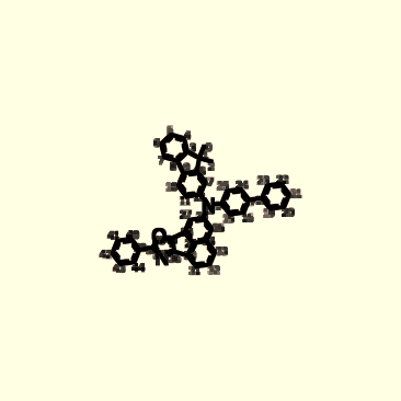 CC1(C)c2ccccc2-c2ccc(N(c3ccc(-c4ccccc4)cc3)c3cc4c5c(cccc5c3)-c3nc(-c5ccccc5)oc3-4)cc21